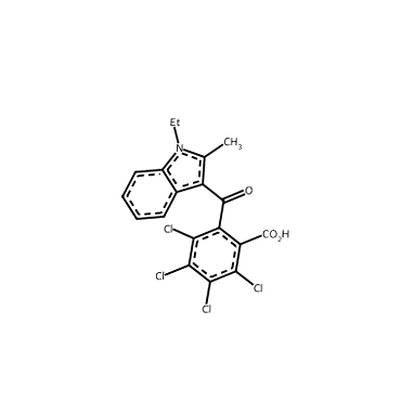 CCn1c(C)c(C(=O)c2c(Cl)c(Cl)c(Cl)c(Cl)c2C(=O)O)c2ccccc21